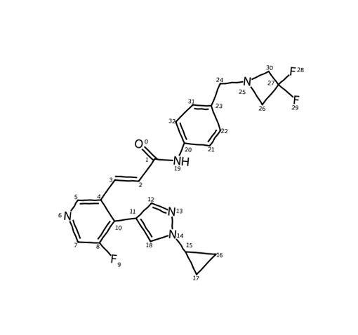 O=C(C=Cc1cncc(F)c1-c1cnn(C2CC2)c1)Nc1ccc(CN2CC(F)(F)C2)cc1